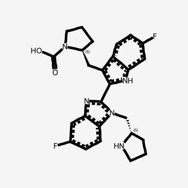 O=C(O)N1CCC[C@H]1Cc1c(-c2nc3cc(F)ccc3n2C[C@@H]2CCCN2)[nH]c2cc(F)ccc12